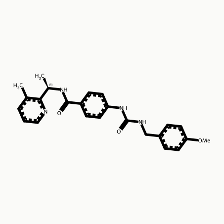 COc1ccc(CNC(=O)Nc2ccc(C(=O)N[C@H](C)c3ncccc3C)cc2)cc1